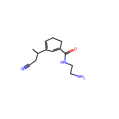 CC(CC#N)C1=CCCC(C(=O)NCCN)=C1